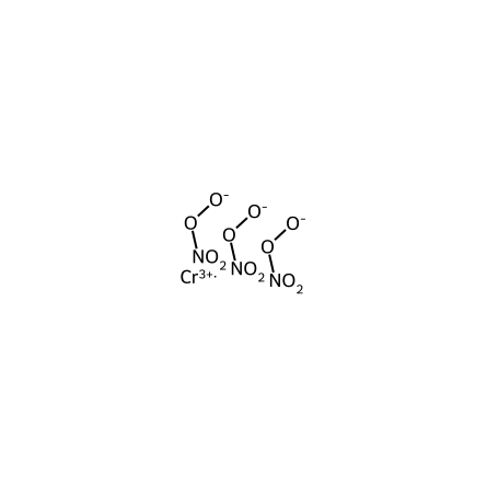 O=[N+]([O-])O[O-].O=[N+]([O-])O[O-].O=[N+]([O-])O[O-].[Cr+3]